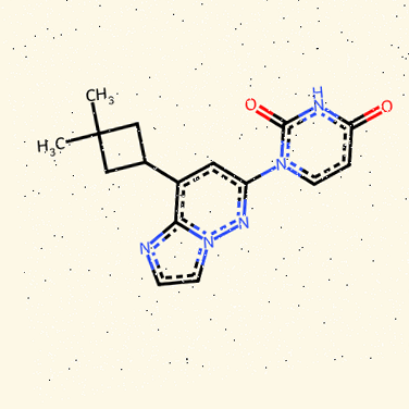 CC1(C)CC(c2cc(-n3ccc(=O)[nH]c3=O)nn3ccnc23)C1